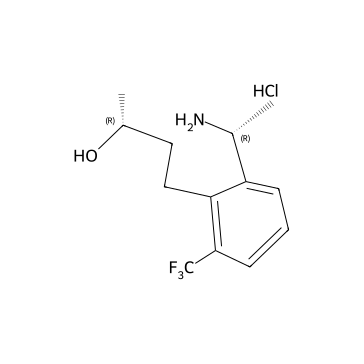 C[C@@H](O)CCc1c([C@@H](C)N)cccc1C(F)(F)F.Cl